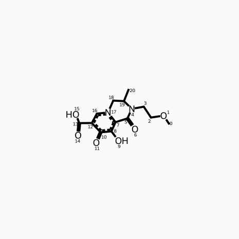 COCCN1C(=O)c2c(O)c(=O)c(C(=O)O)cn2CC1C